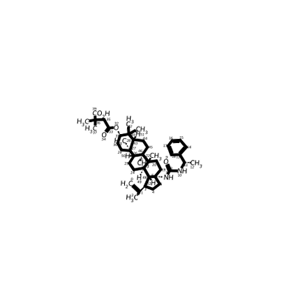 C=C(C)[C@@H]1CC[C@]2(NC(=O)N[C@@H](C)c3ccccc3)CC[C@]3(C)[C@H](CC[C@@H]4[C@@]5(C)CC[C@H](OC(=O)CC(C)(C)C(=O)O)C(C)(C)[C@@H]5CC[C@]43C)[C@@H]12